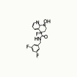 O=C(NCc1cc(F)cc(F)c1)[C@]1(F)CC[C@H](O)c2ncccc21